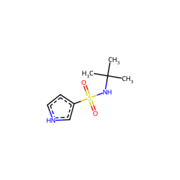 CC(C)(C)NS(=O)(=O)c1cc[nH]c1